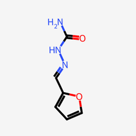 NC(=O)N/N=C/c1ccco1